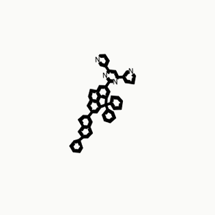 c1ccc(-c2ccc3cc(-c4cc5c6c(ccc7cc(-c8nc(-c9cccnc9)cc(-c9cccnc9)n8)cc(c76)C5(c5ccccc5)c5ccccc5)c4)ccc3c2)cc1